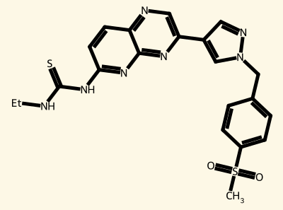 CCNC(=S)Nc1ccc2ncc(-c3cnn(Cc4ccc(S(C)(=O)=O)cc4)c3)nc2n1